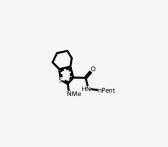 CCCCCNC(=O)c1c(NC)sc2c1CCCC2